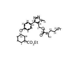 CCOC(=O)[C@H]1CCC[C@H](Oc2ccc(-c3nnn(C)c3COC(=O)N(C)CCC(C)C)cc2)C1